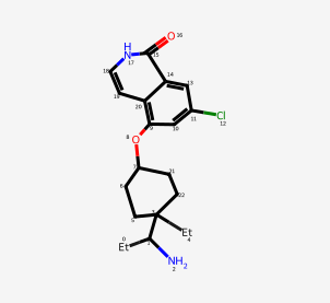 CCC(N)C1(CC)CCC(Oc2cc(Cl)cc3c(=O)[nH]ccc23)CC1